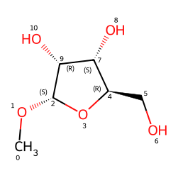 CO[C@H]1O[C@H](CO)[C@@H](O)[C@H]1O